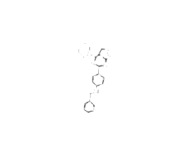 O=C(Nc1ccc(-c2nc(N3CCOCC3)c3cn[nH]c3n2)cc1)c1cccnc1